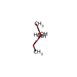 CCCCCCCC/C=C\CCCCCCCCCCCCCC(=O)NC(CO)C(O)CCCCCCCCCCCCCCC